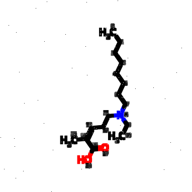 CCCCCCCCN(CC)CCC=C(C)C(=O)O